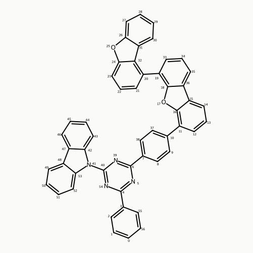 c1ccc(-c2nc(-c3ccc(-c4cccc5c4oc4c(-c6cccc7oc8ccccc8c67)cccc45)cc3)nc(-n3c4ccccc4c4ccccc43)n2)cc1